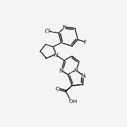 O=C(O)c1cnn2ccc(N3CCCC3c3cc(F)cnc3Cl)nc12